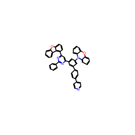 c1ccc(-c2nc(-c3cc(-c4ccc(-c5ccncc5)cc4)cc(N4c5ccccc5Oc5ccccc54)c3)cc(-c3cccc4oc5ccccc5c34)n2)cc1